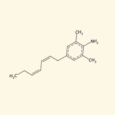 CC/C=C\C=C/Cc1cc(C)c(N)c(C)c1